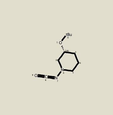 CC(C)(C)O[C@@H]1CCCN(N=C=O)C1